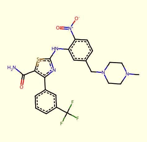 CN1CCN(Cc2ccc([N+](=O)[O-])c(Nc3nc(-c4cccc(C(F)(F)F)c4)c(C(N)=O)s3)c2)CC1